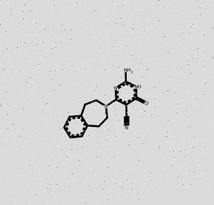 N#Cc1c(N2CCc3ccccc3CC2)nc(N)[nH]c1=O